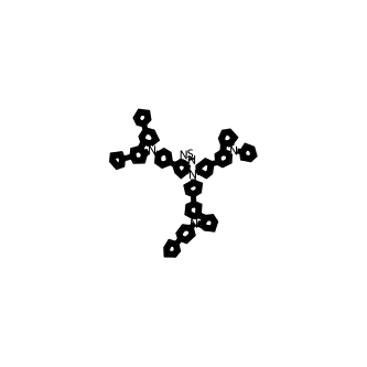 c1ccc(-c2ccc(-n3c4ccccc4c4cc(-c5ccc(N(c6ccc(-c7ccc8c(c7)c7ccccc7n8-c7ccccc7)cc6)c6ccc(-c7ccc(-n8c9ccc(-c%10ccccc%10)cc9c9cc(-c%10ccccc%10)ccc98)cc7)c7nsnc67)cc5)ccc43)cc2)cc1